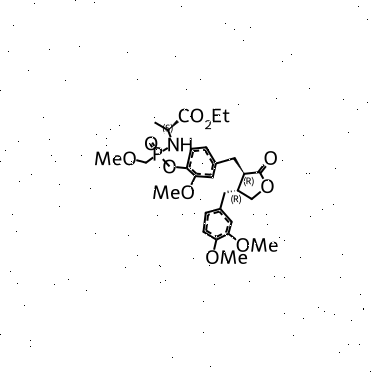 CCOC(=O)[C@H](C)NP(=O)(COC)Oc1ccc(C[C@H]2C(=O)OC[C@@H]2Cc2ccc(OC)c(OC)c2)cc1OC